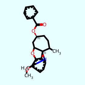 COc1ccc2c3c1OC1C[C@@H](OC(=O)c4ccccc4)CCC(C)[C@@]31CCN(C)C2